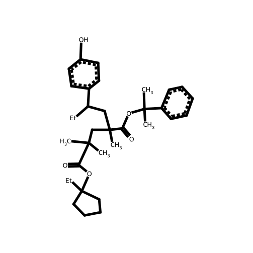 CCC(CC(C)(CC(C)(C)C(=O)OC1(CC)CCCC1)C(=O)OC(C)(C)c1ccccc1)c1ccc(O)cc1